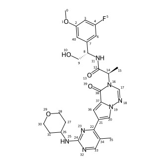 COc1cc(F)cc([C@@H](CO)NC(=O)[C@@H](C)n2cnn3cc(-c4nc(NC5CCOCC5)ncc4C)cc3c2=O)c1